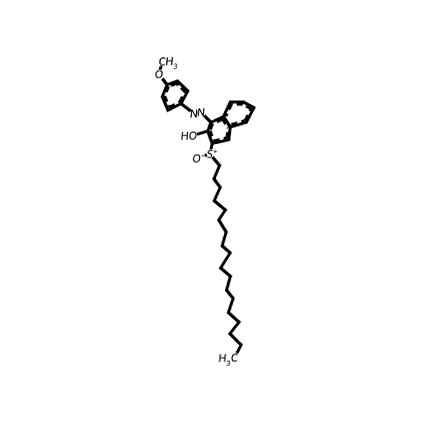 CCCCCCCCCCCCCCCCCC[S+]([O-])c1cc2ccccc2c(N=Nc2ccc(OC)cc2)c1O